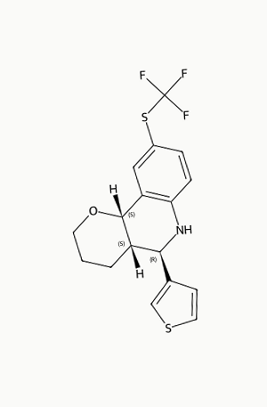 FC(F)(F)Sc1ccc2c(c1)[C@H]1OCCC[C@H]1[C@H](c1ccsc1)N2